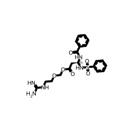 N=C(N)NCCOCOC(=O)C[C@@H](NC(=O)c1ccccc1)NS(=O)(=O)c1ccccc1